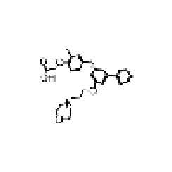 Cc1cc(Sc2cc(OCCCN3CCOCC3)cc(-c3ccccc3)c2)ccc1OCC(=O)O